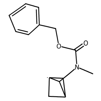 CN(C(=O)OCc1ccccc1)C1[C]2CC1C2